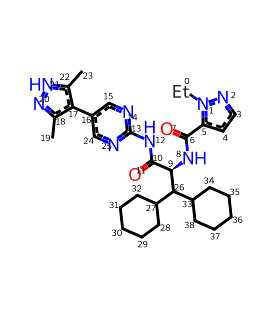 CCn1nccc1C(=O)N[C@H](C(=O)Nc1ncc(-c2c(C)n[nH]c2C)cn1)C(C1CCCCC1)C1CCCCC1